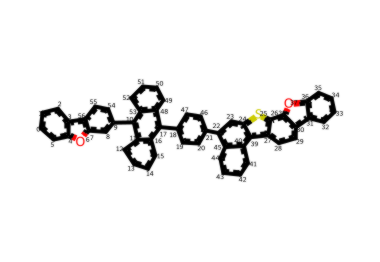 c1ccc2c(c1)oc1cc(-c3c4ccccc4c(-c4ccc(-c5cc6sc7c(ccc8c9ccccc9oc87)c6c6ccccc56)cc4)c4ccccc34)ccc12